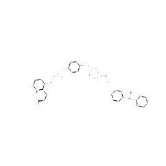 O=C(COc1cccc([C@](O)(C(=O)O)c2ccccc2)c1)N1CC[C@H](Nc2ccc(CNC[C@H](O)c3ccc(O)c4[nH]c(=O)ccc34)cc2)C1